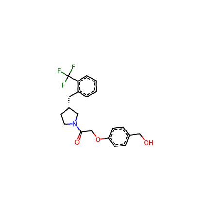 O=C(COc1ccc(CO)cc1)N1CC[C@H](Cc2ccccc2C(F)(F)F)C1